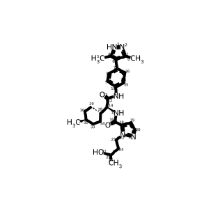 Cc1n[nH]c(C)c1-c1ccc(NC(=O)[C@@H](NC(=O)c2ccnn2CCC(C)O)[C@H]2CC[C@H](C)CC2)cc1